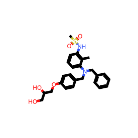 Cc1c(NS(C)(=O)=O)cccc1N(Cc1ccccc1)Cc1ccc(OCC(O)CO)cc1